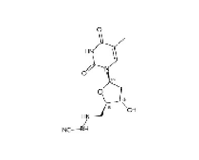 Cc1cn([C@H]2C[C@H](O)[C@@H](CNBC#N)O2)c(=O)[nH]c1=O